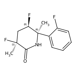 C[C@]1(F)C[C@@H](F)[C@@](C)(c2ccccc2F)NC1=O